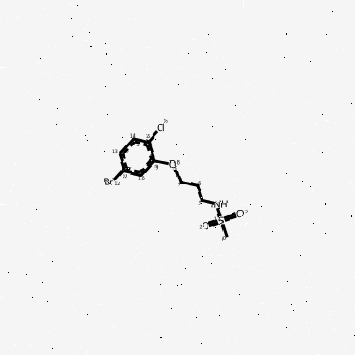 CS(=O)(=O)NCCCOc1cc(Br)ccc1Cl